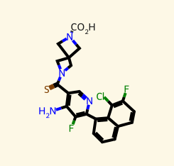 Nc1c(C(=S)N2CC3(CN(C(=O)O)C3)C2)cnc(-c2cccc3ccc(F)c(Cl)c23)c1F